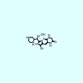 CCC(c1nc(C=C2NC(=O)CNC2=O)c(C(C)C)[nH]1)C1CNCCN1.Cl